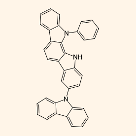 c1ccc(-n2c3ccccc3c3ccc4c5cc(-n6c7ccccc7c7ccccc76)ccc5[nH]c4c32)cc1